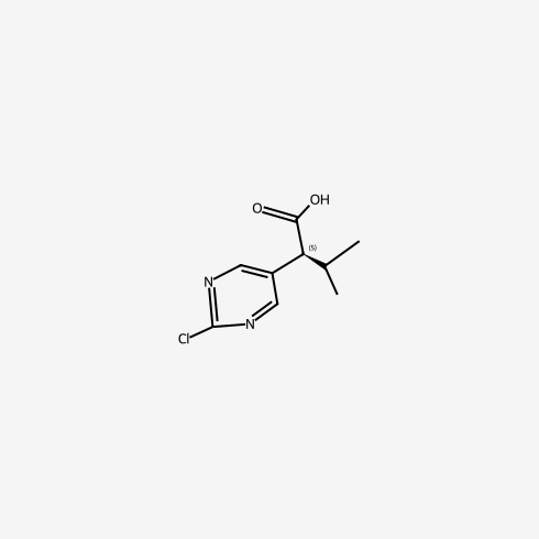 CC(C)[C@H](C(=O)O)c1cnc(Cl)nc1